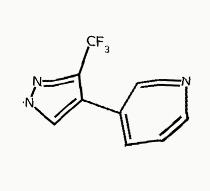 FC(F)(F)C1=N[N]C=C1c1cccnc1